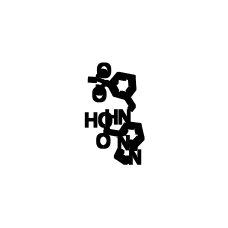 CS(=O)(=O)c1cccc(CNc2ccc3nccn3c2C(=O)O)c1